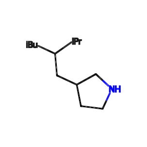 CCC(C)C(CC1CCNC1)C(C)C